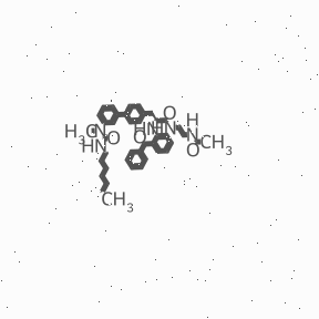 CCCCCCCNC(=O)N(C)c1cccc(-c2ccc(C[C@H](Nc3ccccc3C(=O)c3ccccc3)C(=O)NCCNC(C)=O)cc2)c1